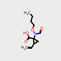 C=CC1CC1(C(=O)O)N(C=O)OCCCC